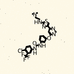 CN(C)CCNc1nc(-c2cc(Oc3cccc(NC(=O)Nc4ccc(Cl)c(C(F)(F)F)c4)c3)ncn2)cs1